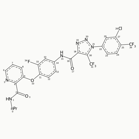 CCCNC(=O)c1ncccc1Oc1ccc(NC(=O)c2nnn(-c3ccc(C(F)(F)F)c(Cl)c3)c2C(F)(F)F)cc1F